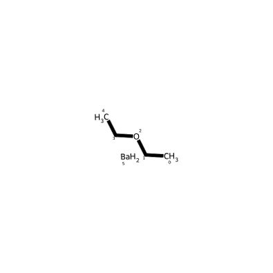 CCOCC.[BaH2]